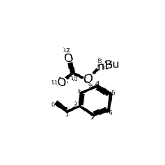 C=Cc1ccccc1.CCCCOC([O])=O